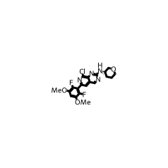 COc1cc(OC)c(F)c(-c2cc3cnc(N[C@H]4CCCOC4)nc3c(Cl)n2)c1F